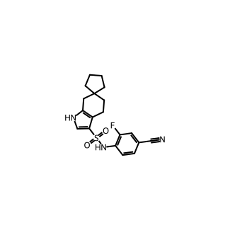 N#Cc1ccc(NS(=O)(=O)c2c[nH]c3c2CCC2(CCCC2)C3)c(F)c1